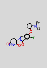 CCN(CC)[C@@H]1CCC[C@@H]1Oc1cc2c(cc1F)C(=O)N(C1CCC(=O)NC1=O)C2